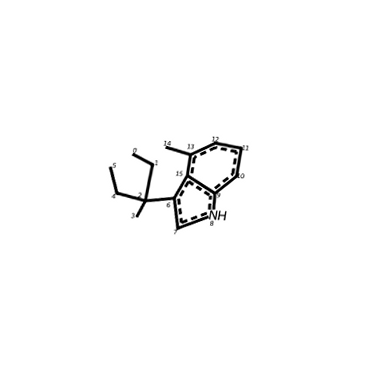 CCC(C)(CC)c1c[nH]c2cccc(C)c12